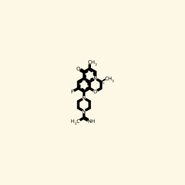 CC(=N)N1CCN(c2c(F)cc3c(=O)c(C)cn4c3c2OC[C@@H]4C)CC1